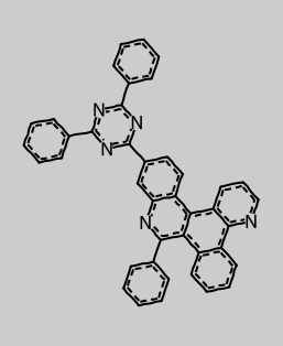 c1ccc(-c2nc(-c3ccccc3)nc(-c3ccc4c(c3)nc(-c3ccccc3)c3c5ccccc5c5ncccc5c43)n2)cc1